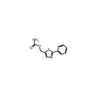 NC(=O)OCc1cnc(-c2ccccc2)s1